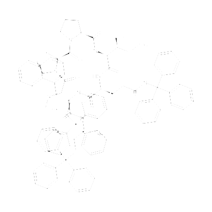 CCCCCCN[C@@H](CSC(c1ccccc1)(c1ccccc1)c1ccccc1)C(=O)N1CCC[C@H]1C(=O)N1CCC[C@H]1C(=O)N[C@H](C(=O)N[C@@H](CCC(=O)NC(c1ccccc1)(c1ccccc1)c1ccccc1)C(=O)N[C@@H](Cc1cccc2ccccc12)C(=O)N[C@@H](CSC(c1ccccc1)(c1ccccc1)c1ccccc1)C(=O)O)[C@@H](C)OC(C)(C)C